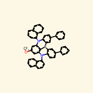 FC(F)(F)Oc1cc2c3c(c1)N(c1cccc4ccccc14)c1ccc(-c4ccccc4)cc1B3c1cc(-c3ccccc3)ccc1N2c1cccc2ccccc12